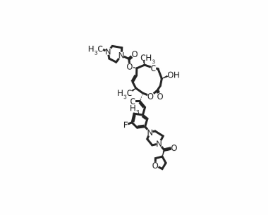 C/C(=C\c1cc(F)cc(N2CCN(C(=O)[C@H]3CCOC3)CC2)c1)[C@H]1OC(=O)C[C@H](O)CC[C@H](C)[C@@H](OC(=O)N2CCN(C)CC2)/C=C/[C@@H]1C